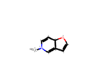 O=C(O)N1C=CC2OC=CC2=C1